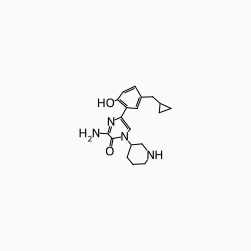 Nc1nc(-c2cc(CC3CC3)ccc2O)cn(C2CCCNC2)c1=O